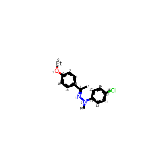 CCOc1ccc(/C(C)=N/N(C)c2ccc(Cl)cc2)cc1